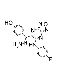 NN=C(c1ccc(O)cc1)c1nc2nonc2nc1Nc1ccc(F)cc1